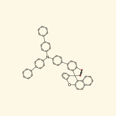 c1ccc(-c2ccc(N(c3ccc(-c4ccccc4)cc3)c3ccc(-c4ccc5c(c4)C4(c6ccccc6Oc6ccc7ccccc7c64)c4ccccc4-5)cc3)cc2)cc1